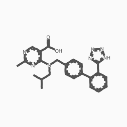 Cc1ncc(C(=O)O)c(N(Cc2ccc(-c3ccccc3-c3nnn[nH]3)cc2)CC(C)C)n1